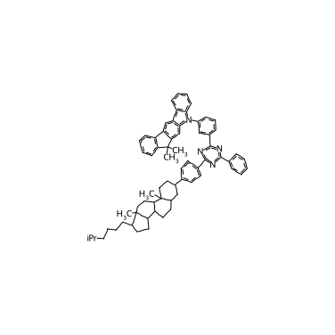 CC(C)CCCCC1CCC2C3CCC4CC(c5ccc(-c6nc(-c7ccccc7)nc(-c7cccc(-n8c9ccccc9c9cc%10c(cc98)C(C)(C)c8ccccc8-%10)c7)n6)cc5)CCC4(C)C3CCC12C